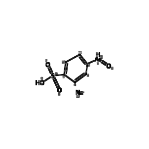 O=[AsH2]c1ccc(S(=O)(=O)O)cc1.[Na]